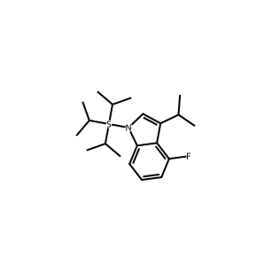 CC(C)c1cn(S(C(C)C)(C(C)C)C(C)C)c2cccc(F)c12